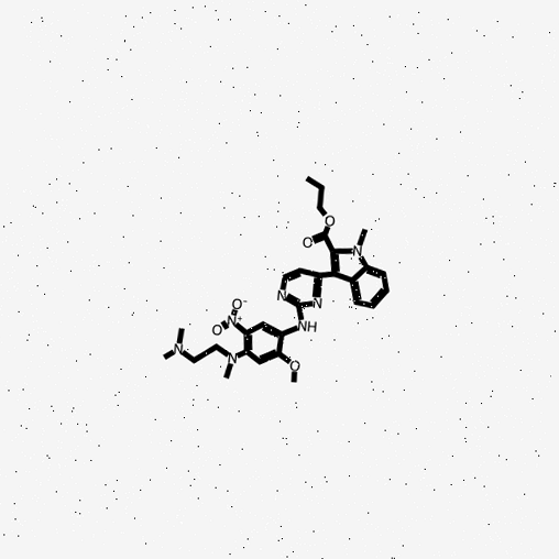 CCCOC(=O)c1c(-c2ccnc(Nc3cc([N+](=O)[O-])c(N(C)CCN(C)C)cc3OC)n2)c2ccccc2n1C